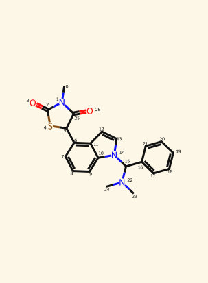 CN1C(=O)SC(c2cccc3c2ccn3C(c2ccccc2)N(C)C)C1=O